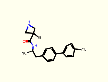 CCC1(C(=O)N[C@H](C#N)Cc2ccc(-c3ccc(C#N)cc3)cc2)CNC1